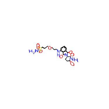 NS(=O)(=O)CCCOCCCNc1cccc2c1C(=O)N(C1CCC(=O)NC1=O)C2=O